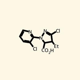 CCC1C(Cl)=NN(c2ncccc2Cl)C1C(=O)O